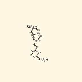 O=C(O)c1cccc(/C=C/c2ccc3ccc(Cl)cc3n2)c1